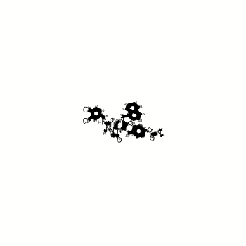 CN(C)C(=O)Oc1ccc(C[C@H]2C(=O)N(Cc3cccc4ccccc34)C[C@H]3N2C(=O)CN3N(C)C(=O)NCc2ccc(Cl)c(Cl)c2)cc1